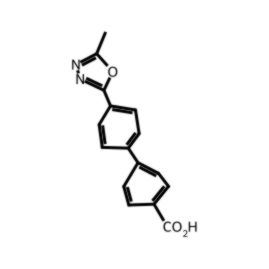 Cc1nnc(-c2ccc(-c3ccc(C(=O)O)cc3)cc2)o1